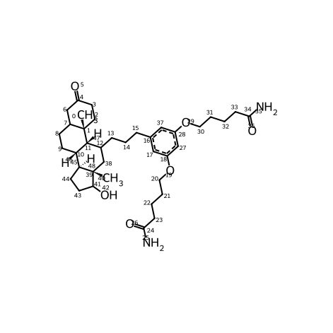 C[C@]12CCC(=O)CC1CC[C@@H]1[C@H]2C(CCCc2cc(OCCCCC(N)=O)cc(OCCCCC(N)=O)c2)C[C@]2(C)C(O)CC[C@@H]12